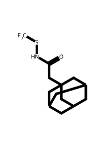 O=C(CC12CC3CC(CC(C3)C1)C2)NSC(F)(F)F